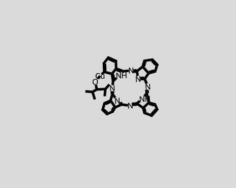 CC(C)C([O][Cu][c]1cccc2c3nc4nc(nc5[nH]c(nc6nc(nc([nH]3)c12)-c1ccccc1-6)c1ccccc51)-c1ccccc1-4)C(C)C